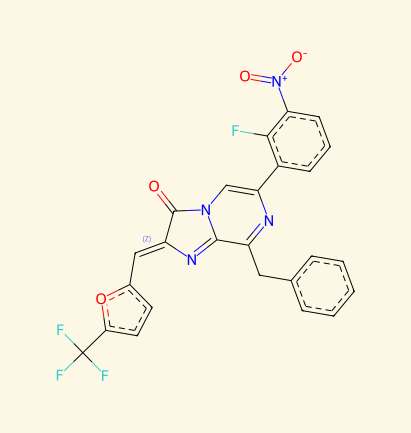 O=C1/C(=C/c2ccc(C(F)(F)F)o2)N=C2C(Cc3ccccc3)=NC(c3cccc([N+](=O)[O-])c3F)=CN12